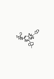 Cc1ccc(-c2nc(NC(=O)C3CC3)cc3nc(C4COC4)nn23)o1